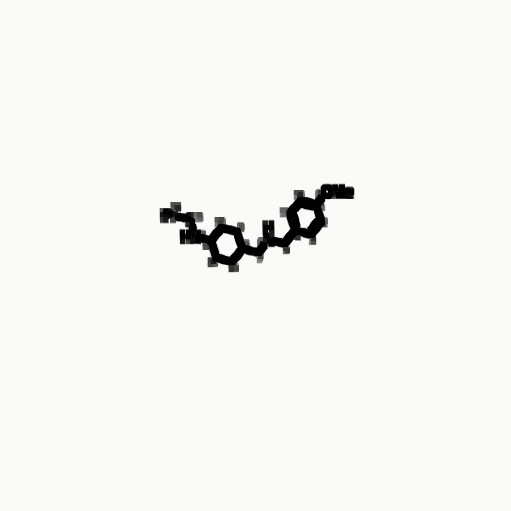 COc1ccc(CNCC2CCC(NSC(C)C)CC2)cc1